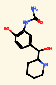 NC(=O)Nc1cc(C(O)C2CCCCN2)ccc1O